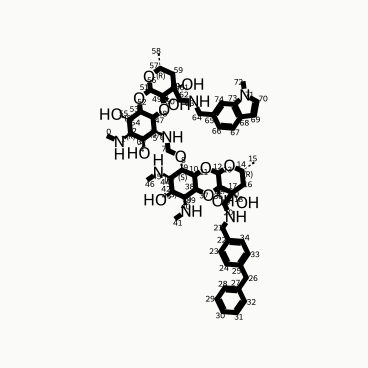 CN[C@@H]1[C@H](O)[C@H](NCO[C@@H]2C3OC4O[C@H](C)C[C@@](O)(CNCc5ccc(Cc6ccccc6)cc5)[C@]4(O)OC3[C@@H](NC)[C@@H](O)[C@H]2NC)C2O[C@]3(O)C(OC2[C@H]1O)O[C@H](C)C[C@@]3(O)CNCc1ccc2ccn(C)c2c1